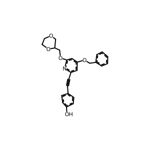 Oc1ccc(C#Cc2cc(OCc3ccccc3)cc(OCC3COCCO3)n2)cc1